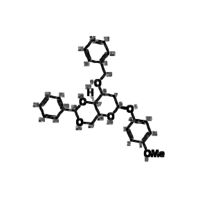 COc1ccc(O[C@@H]2CC(OCc3ccccc3)[C@@H]3OC(c4ccccc4)OCC3O2)cc1